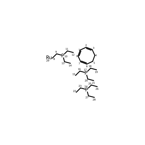 C1=C\C=C/CC\C=C/1.CCP(CC)CC.CCP(CC)CC.CCP(CC)CC.[Ru]